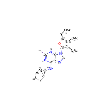 CC(=O)OC[C@@H]1O[C@@H](n2cnc3c(NC4CC5CCC4C5)nc(I)nc32)[C@H](OC(C)=O)[C@@H]1OC(C)=O